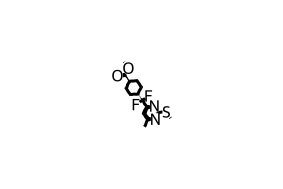 COC(=O)[C@H]1CC[C@H](C(F)(F)c2cc(C)nc(SC)n2)CC1